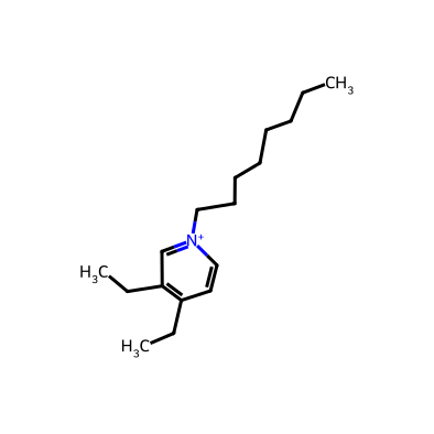 CCCCCCCC[n+]1ccc(CC)c(CC)c1